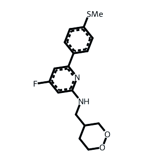 CSc1ccc(-c2cc(F)cc(NCC3CCOOC3)n2)cc1